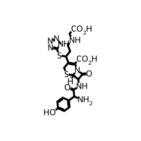 NC(C(=O)NC1C(=O)N2C(C(=O)O)=C(C(CCNCC(=O)O)Sc3nnn[nH]3)CS[C@@H]12)c1ccc(O)cc1